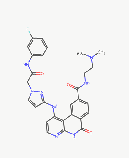 CN(C)CCNC(=O)c1ccc2c(=O)[nH]c3nccc(Nc4ccn(CC(=O)Nc5cccc(F)c5)n4)c3c2c1